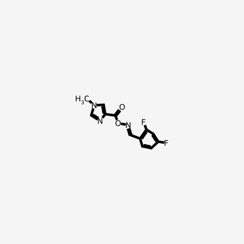 Cn1cnc(C(=O)ON=Cc2ccc(F)cc2F)c1